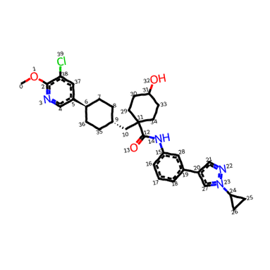 COc1ncc([C@H]2CC[C@H](CC3(C(=O)Nc4cccc(-c5cnn(C6CC6)c5)c4)CCC(O)CC3)CC2)cc1Cl